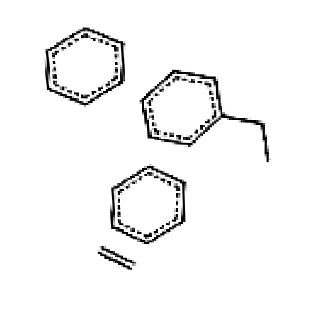 C=C.CCc1ccccc1.c1ccccc1.c1ccccc1